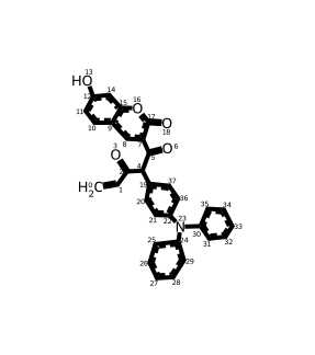 C=CC(=O)C(C(=O)c1cc2ccc(O)cc2oc1=O)c1ccc(N(c2ccccc2)c2ccccc2)cc1